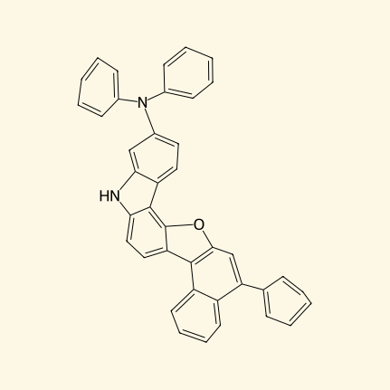 c1ccc(-c2cc3oc4c(ccc5[nH]c6cc(N(c7ccccc7)c7ccccc7)ccc6c54)c3c3ccccc23)cc1